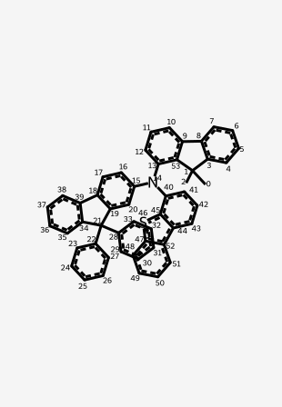 CC1(C)c2ccccc2-c2cccc(N(c3ccc4c(c3)C(c3ccccc3)(c3ccccc3)c3ccccc3-4)c3cccc4c3sc3ccccc34)c21